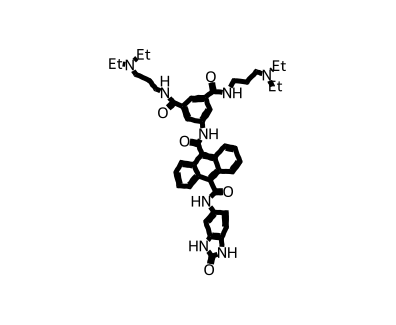 CCN(CC)CCCNC(=O)c1cc(NC(=O)c2c3ccccc3c(C(=O)Nc3ccc4[nH]c(=O)[nH]c4c3)c3ccccc23)cc(C(=O)NCCCN(CC)CC)c1